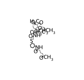 CO[C@H]1[C@H](C2(C)O[C@@H]2CC=C(C)C)[C@]2(CC[C@H]1OC(=O)NC(=O)CSc1cccc(NC(=O)CCCC(C)=O)c1)CO2